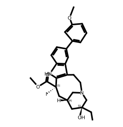 CC[C@]1(O)C[C@H]2CN(CCc3c([nH]c4ccc(-c5cccc(OC)c5)cc34)[C@](I)(C(=O)OC)C2)C1